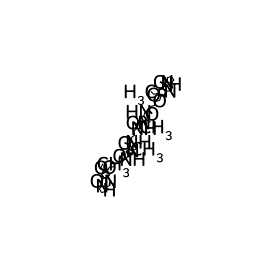 COc1cc2c(cc1OCCCC(=O)Nc1cc(C(=O)NCCCNC(=O)c3cc(NC(=O)CCCOc4cc5c(cc4OC)C(=O)N4CCC[C@H]4C=N5)cn3C)n(C)c1)N=C[C@@H]1CCCN1C2=O